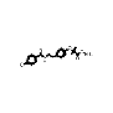 CC(C)(Oc1ccc(CCNC(=O)c2ccc(Cl)cc2)cc1)C(=O)ON